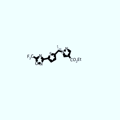 CCOC(=O)c1cnn([C@@H](C)c2ccc(-c3noc(C(F)(F)F)n3)s2)c1